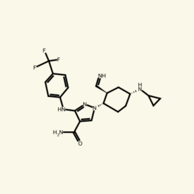 N=C[C@H]1C[C@H](NC2CC2)CC[C@@H]1n1cc(C(N)=O)c(Nc2ccc(C(F)(F)F)cc2)n1